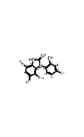 O=c1[nH]c2c(F)cc(F)c(F)c2n1-c1ccc(I)cc1F